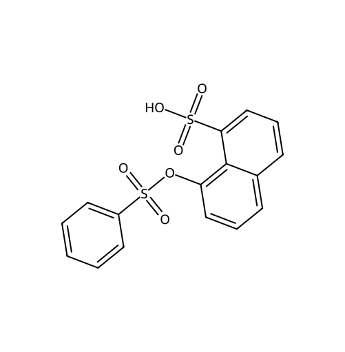 O=S(=O)(O)c1cccc2cccc(OS(=O)(=O)c3ccccc3)c12